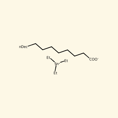 CCCCCCCCCCCCCCCCCC(=O)[O-].C[CH2][Sn+]([CH2]C)[CH2]C